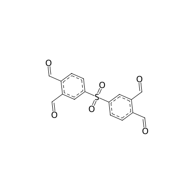 O=Cc1ccc(S(=O)(=O)c2ccc(C=O)c(C=O)c2)cc1C=O